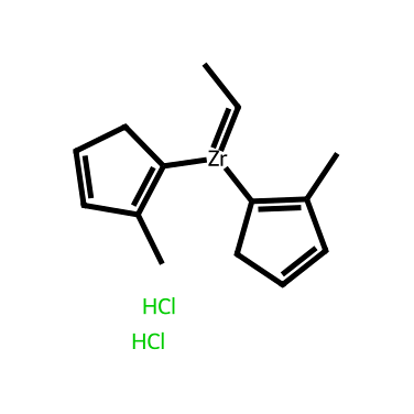 C[CH]=[Zr]([C]1=C(C)C=CC1)[C]1=C(C)C=CC1.Cl.Cl